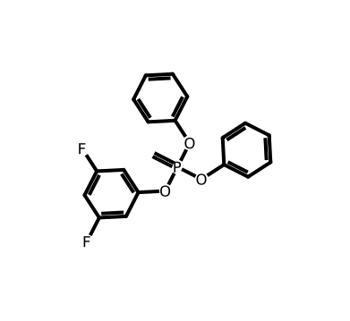 C=P(Oc1ccccc1)(Oc1ccccc1)Oc1cc(F)cc(F)c1